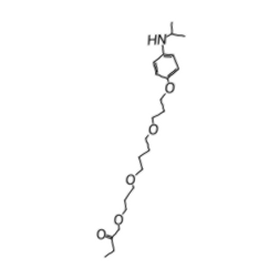 CCC(=O)COCCCOCCCCOCCCOc1ccc(NC(C)C)cc1